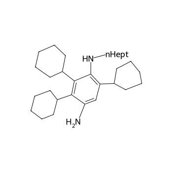 CCCCCCCNc1c(C2CCCCC2)cc(N)c(C2CCCCC2)c1C1CCCCC1